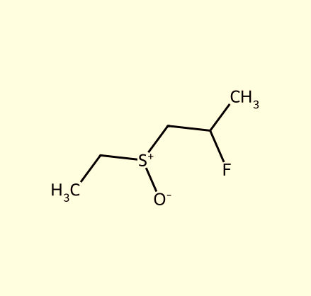 CC[S+]([O-])CC(C)F